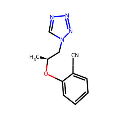 C[C@@H](Cn1cnnn1)Oc1ccccc1C#N